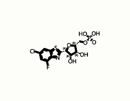 O=P(O)(O)OC[C@H]1O[C@@H](c2nc3c(F)cc(Cl)cc3s2)[C@H](O)[C@H]1O